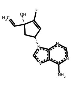 C=C[C@]1(O)C[C@@H](n2cnc3c(N)ncnc32)C=C1F